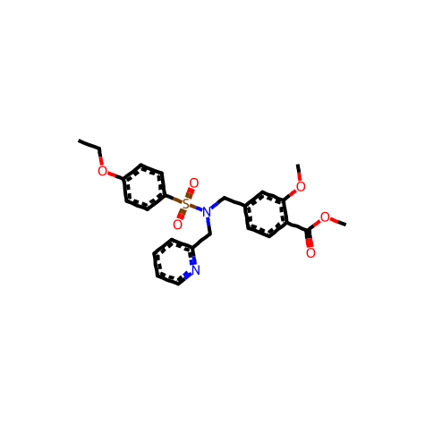 CCOc1ccc(S(=O)(=O)N(Cc2ccc(C(=O)OC)c(OC)c2)Cc2ccccn2)cc1